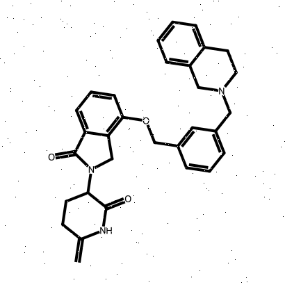 C=C1CCC(N2Cc3c(OCc4cccc(CN5CCc6ccccc6C5)c4)cccc3C2=O)C(=O)N1